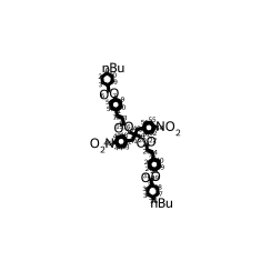 CCCCC1CCC(C(=O)Oc2ccc(/C=C/C(=O)OCC(COC(=O)/C=C/c3ccc(OC(=O)C4CCC(CCCC)CC4)cc3)(Cc3ccc([N+](=O)[O-])cc3)Cc3ccc([N+](=O)[O-])cc3)cc2)CC1